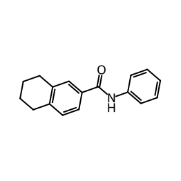 O=C(Nc1ccccc1)c1ccc2c(c1)CCCC2